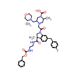 CC1CN(CC(=O)N2C[C@](C)(C(=O)NCCNC(=O)OCc3ccccc3)c3ccc(Cc4ccc(F)cc4)cc32)C(CN2CCOC[C@H]2C)CN1C(=O)O